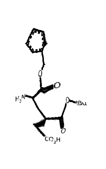 CC(C)(C)OC(=O)C(CC(=O)O)C(N)C(=O)OCc1ccccc1